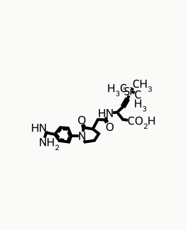 C[Si](C)(C)C#CC(CC(=O)O)NC(=O)CC1CCCN(c2ccc(C(=N)N)cc2)C1=O